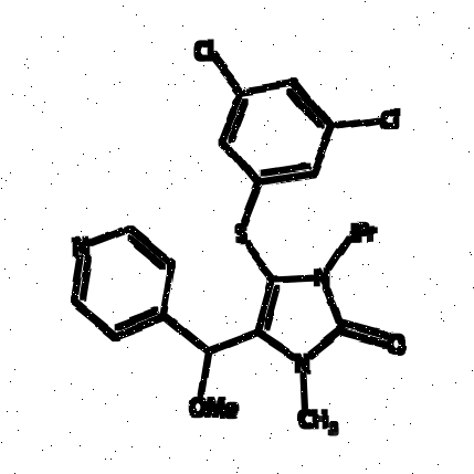 COC(c1ccncc1)c1c(Sc2cc(Cl)cc(Cl)c2)n(C(C)C)c(=O)n1C